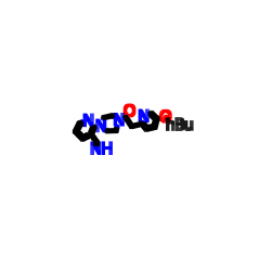 CCCCOc1ccc(CC(=O)N2CCN(c3ncccc3C=N)CC2)nc1